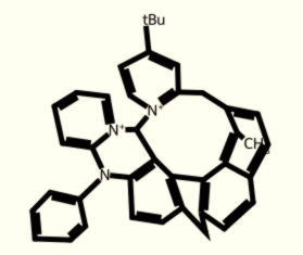 Cc1c2ccc3ccc4c(c13)-c1c(ccc3c1C([n+]1ccc(C(C)(C)C)cc1C2)[n+]1ccccc1N3c1ccccc1)C4